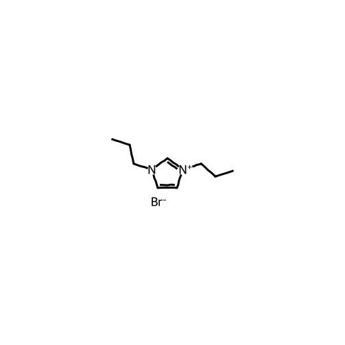 CCCn1cc[n+](CCC)c1.[Br-]